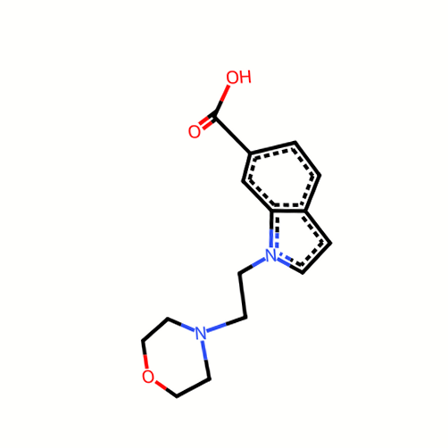 O=C(O)c1ccc2ccn(CCN3CCOCC3)c2c1